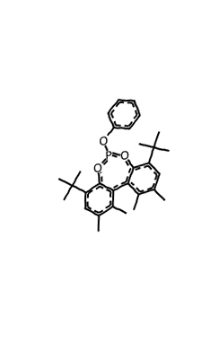 Cc1cc(C(C)(C)C)c2op(Oc3ccccc3)oc3c(C(C)(C)C)cc(C)c(C)c3c2c1C